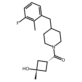 Cc1c(F)cccc1CC1CCN(C(=O)[C@H]2C[C@@](C)(O)C2)CC1